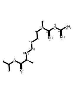 CC(C)OC(=O)[C@H](C)NPSCCN(C)C(=N)NC(=N)N